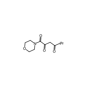 CC(C)C(=O)CC(=O)C(=O)N1CCOCC1